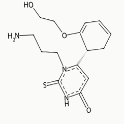 NCCCn1c([C@H]2CC=CC=C2OCCO)cc(=O)[nH]c1=S